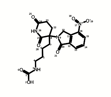 O=C(O)NCCCCC1(N2Cc3c(cccc3[N+](=O)[O-])C2=O)CCC(=O)NC1=O